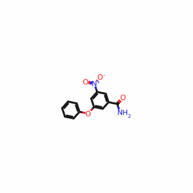 NC(=O)c1cc(Oc2ccccc2)cc([N+](=O)[O-])c1